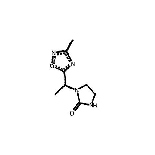 Cc1noc(C(C)N2CCNC2=O)n1